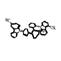 N#Cc1ccc2c(c1)c1ccccc1n2-c1ccc(-c2cccc(C#N)c2-c2ccccc2-n2c3ccccc3c3c(C#N)cccc32)cc1